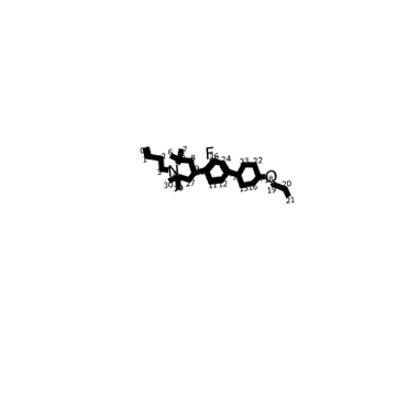 C=CCCN1C(C)(C)CC(c2ccc(C3CCC(OCCC)CC3)cc2F)CC1(C)C